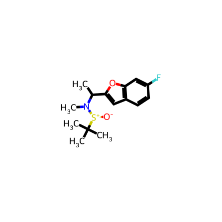 CC(c1cc2ccc(F)cc2o1)N(C)[S@@+]([O-])C(C)(C)C